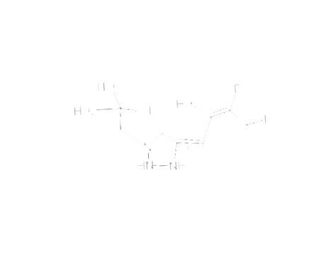 CC(/C=C1\CN(CC(C)(C)O)NN1)=C(\F)CF